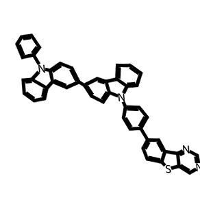 c1ccc(-n2c3ccccc3c3cc(-c4ccc5c(c4)c4ccccc4n5-c4ccc(-c5ccc6sc7cncnc7c6c5)cc4)ccc32)cc1